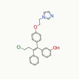 Oc1cccc(C(=C(CCCl)c2ccccc2)c2ccc(OCCn3ccnc3)cc2)c1